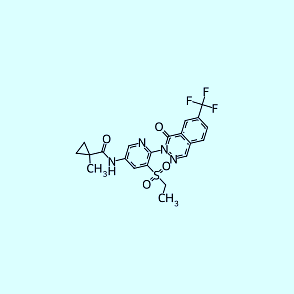 CCS(=O)(=O)c1cc(NC(=O)C2(C)CC2)cnc1-n1ncc2ccc(C(F)(F)F)cc2c1=O